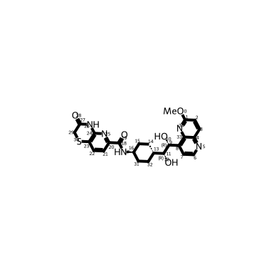 COc1ccc2nccc([C@@H](O)[C@H](O)[C@H]3CC[C@H](NC(=O)c4ccc5c(n4)NC(=O)CS5)CC3)c2n1